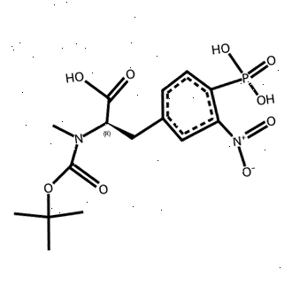 CN(C(=O)OC(C)(C)C)[C@H](Cc1ccc(P(=O)(O)O)c([N+](=O)[O-])c1)C(=O)O